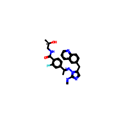 C=Nc1ncc(Cc2ccc3ncccc3c2)n1/N=C(\C)c1ccc(C(=O)NC[C@@H](C)O)c(F)c1